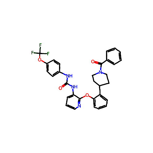 O=C(Nc1ccc(OC(F)(F)F)cc1)Nc1cccnc1Oc1ccccc1C1CCN(C(=O)c2ccccc2)CC1